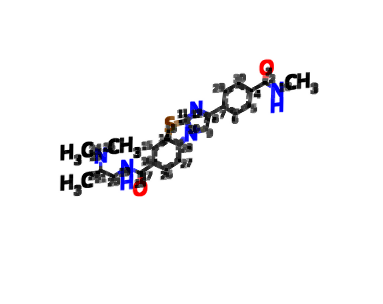 CNC(=O)c1ccc(-c2cn3c(n2)sc2cc(C(=O)NCC(C)N(C)C)ccc23)cc1